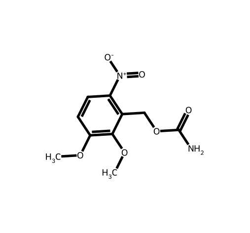 COc1ccc([N+](=O)[O-])c(COC(N)=O)c1OC